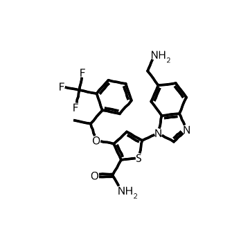 CC(Oc1cc(-n2cnc3ccc(CN)cc32)sc1C(N)=O)c1ccccc1C(F)(F)F